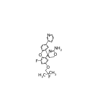 CC(C)(F)COc1cc(F)c2c(c1)[C@]1(CCOC(N)=N1)c1cc(-c3cccnc3)ccc1O2